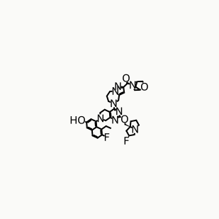 CCc1c(F)ccc2cc(O)cc(N3CCc4c(nc(OC[C@@]56CCCN5C[C@H](F)C6)nc4N4CCCn5nc(C(=O)N6CC7CC6CO7)cc5C4)C3)c12